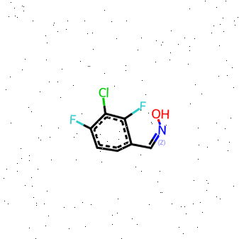 O/N=C\c1ccc(F)c(Cl)c1F